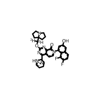 [2H]C([2H])(Oc1nc(N2CC3CCC2CN3)c2ccn(-c3cc(O)cc4ccc(F)c(F)c34)c(=O)c2n1)C12CCCN1CCC2